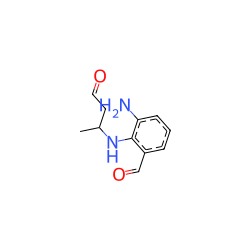 CC(CC=O)Nc1c(N)cccc1C=O